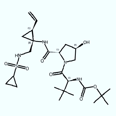 C=C[C@@H]1C[C@@]1(CNS(=O)(=O)C1CC1)NC(=O)[C@@H]1C[C@@H](O)CN1C(=O)[C@@H](NC(=O)OC(C)(C)C)C(C)(C)C